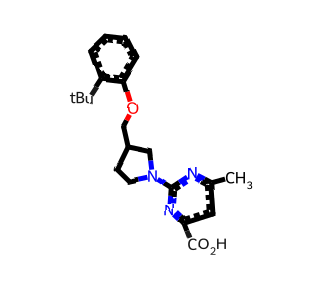 Cc1cc(C(=O)O)nc(N2CCC(COc3ccccc3C(C)(C)C)C2)n1